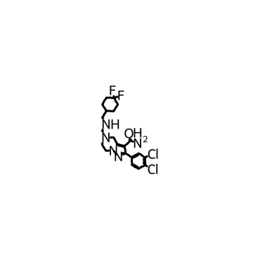 NC(=O)c1c(-c2ccc(Cl)c(Cl)c2)nn2c1CN(CNCC1CCC(F)(F)CC1)CC2